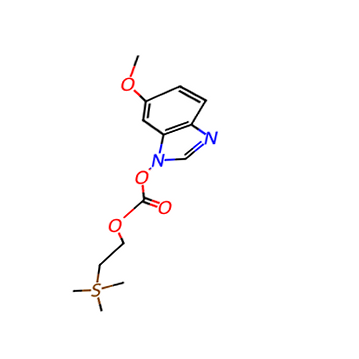 COc1ccc2ncn(OC(=O)OCCS(C)(C)C)c2c1